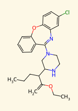 C=C(OCC)C(CCC)C1CN(C2=Nc3cc(Cl)ccc3Oc3ccccc32)CCN1